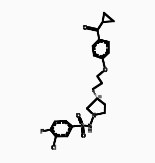 O=C(c1ccc(OCCC[C@@H]2CCN(NS(=O)(=O)c3ccc(F)c(Cl)c3)C2)cc1)C1CC1